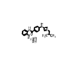 CC(C)CN1CC(Nc2ccc(C(=O)Nc3ccccc3N)cc2)C1.Cl.Cl.Cl